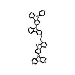 c1ccc(-n2c3ccccc3c3cc(-n4c5ccccc5c5cc(CCc6cccc7c6oc6ccc(-n8c9ccncc9c9cnccc98)cc67)ccc54)ccc32)cc1